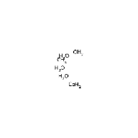 C.O.O.O.O.[CaH2]